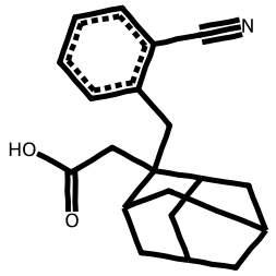 N#Cc1ccccc1CC1(CC(=O)O)C2CC3CC(C2)CC1C3